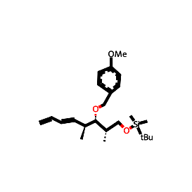 C=CC=C[C@H](C)[C@H](OCc1ccc(OC)cc1)[C@@H](C)CO[Si](C)(C)C(C)(C)C